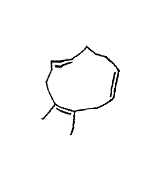 C/C1=C(\C)C/C=C/CC/C=C\C1